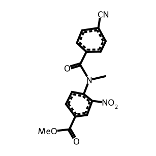 COC(=O)c1ccc(N(C)C(=O)c2ccc(C#N)cc2)c([N+](=O)[O-])c1